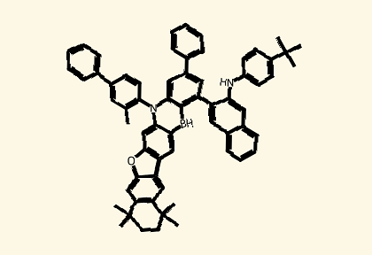 Cc1cc(-c2ccccc2)ccc1N1c2cc3oc4cc5c(cc4c3cc2Bc2c(-c3cc4ccccc4cc3Nc3ccc(C(C)(C)C)cc3)cc(-c3ccccc3)cc21)C(C)(C)CCC5(C)C